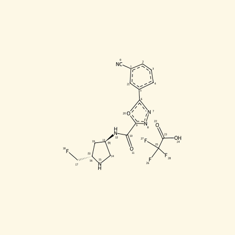 N#Cc1cccc(-c2nnc(C(=O)N[C@H]3CN[C@H](CF)C3)o2)c1.O=C(O)C(F)(F)F